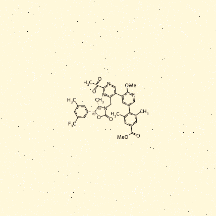 COC(=O)c1cc(C)c(-c2cnc(OC)c(-c3cnc(S(C)(=O)=O)nc3CN3C(=O)O[C@H](c4cc(C)cc(C(F)(F)F)c4)[C@@H]3C)c2)c(C)c1